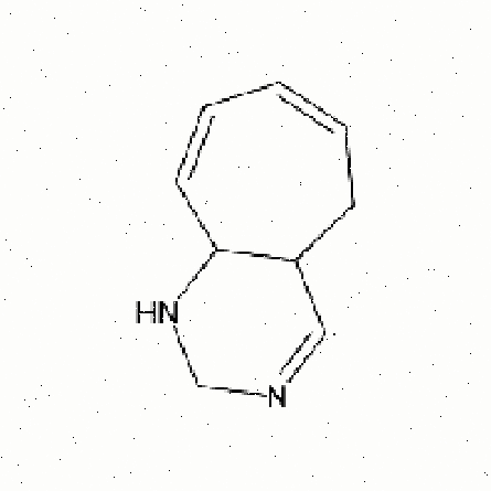 [C]1=NCNC2C=CC=CCC12